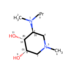 CC(C)N(C)[C@H]1CN(C)C[C@H](O)[C@@H]1O